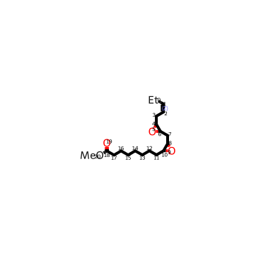 CC/C=C\CC1OC1CC1OC1CCCCCCCC(=O)OC